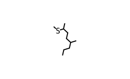 CCCC(C)CCC(C)SC